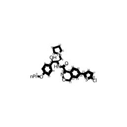 CCCOc1ccc([C@@H](O)[C@@H](CN2CCCC2)NC(=O)C2=NOCc3cc(-c4ccc(Cl)s4)ccc32)cc1